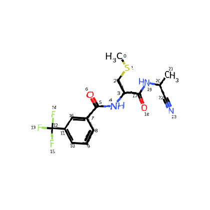 CSCC(NC(=O)c1cccc(C(F)(F)F)c1)C(=O)NC(C)C#N